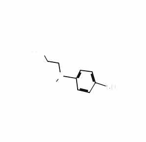 Nc1ccc([S+]([O-])CCC(=O)O)cc1